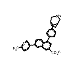 O=C(O)c1cc(-c2ccc(C3C4CCC3CNC4)cc2)c2ccc(-c3ccc(C(F)(F)F)cc3)cc2c1